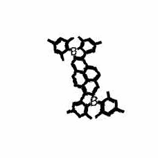 Cc1cc(C)c(B2c3cc4ccc5c6c(cc7ccc(c3-c3cc(C)cc(C)c32)c4c75)B(c2c(C)cc(C)cc2C)c2c(C)cc(C)cc2-6)c(C)c1